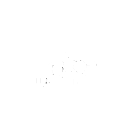 COc1ccc2c(c1)C(C)(C)C(C)=[N+]2CC(N)=O.[Cl-]